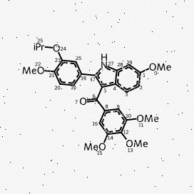 COc1ccc2c(C(=O)c3cc(OC)c(OC)c(OC)c3)c(-c3ccc(OC)c(OC(C)C)c3)[nH]c2c1